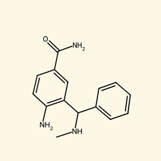 CNC(c1ccccc1)c1cc(C(N)=O)ccc1N